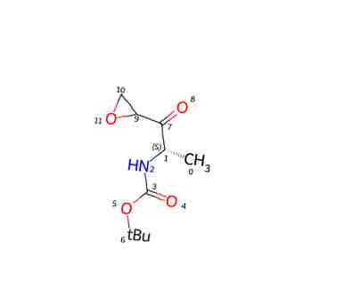 C[C@H](NC(=O)OC(C)(C)C)C(=O)C1CO1